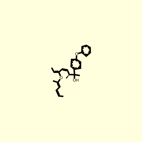 C/C=C\C=C(/C)OC(/C=C\[C@H](C)C(C)(O)c1ccc(Oc2ccccc2)cc1)=C/C